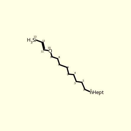 CCCCCCCCCCCCCCCCOC=C[SiH3]